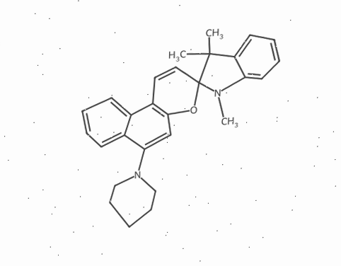 CN1c2ccccc2C(C)(C)C12C=Cc1c(cc(N3CCCCC3)c3ccccc13)O2